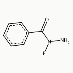 NN(F)C(=O)c1ccccc1